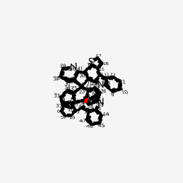 c1ccc(-c2nc(-n3c4ccccc4c4c5ccsc5c5c(c43)C3(c4ccccc4-c4ccccc43)c3cccnc3-5)nc3ccccc23)cc1